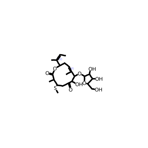 C/C=C(/C)C1C/C=C(\C)C(OC2OC(CO)C(O)C2O)C(O)C(=O)CC(SC)C(C)C(=O)O1